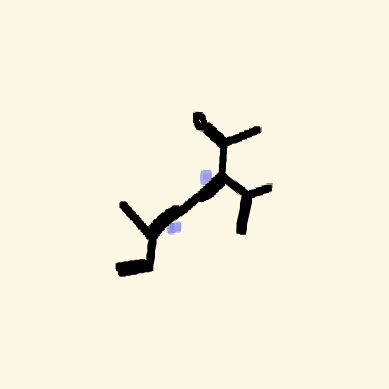 C=C/C(C)=C/C=C(\C(=C)C)C(C)=O